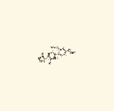 CCCOc1ccc(-c2ccc(-c3nnn[nH]3)c(=O)[nH]2)c(OC)c1